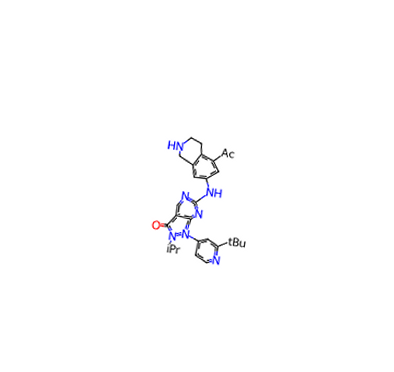 CC(=O)c1cc(Nc2ncc3c(=O)n(C(C)C)n(-c4ccnc(C(C)(C)C)c4)c3n2)cc2c1CCNC2